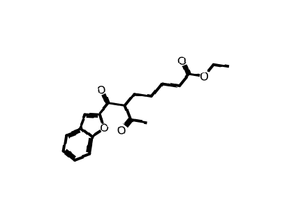 CCOC(=O)CCCCC(C(C)=O)C(=O)c1cc2ccccc2o1